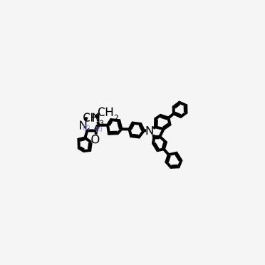 C=N/C(=C1/Oc2ccccc2/C1=N/C)c1ccc(-c2ccc(-n3c4ccc(-c5ccccc5)cc4c4cc(-c5ccccc5)ccc43)cc2)cc1